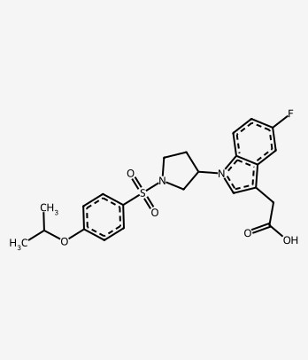 CC(C)Oc1ccc(S(=O)(=O)N2CCC(n3cc(CC(=O)O)c4cc(F)ccc43)C2)cc1